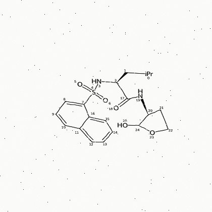 CC(C)C[C@H](NS(=O)(=O)c1cccc2ccccc12)C(=O)N[C@H]1CCOC1O